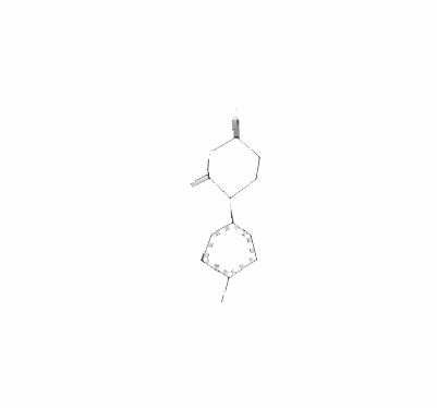 Cc1ccc([C@@H]2CCC(=O)NC2=O)cc1